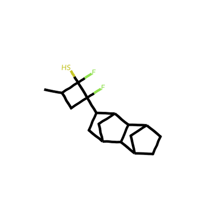 CC1CC(F)(C2CC3CC2C2C4CCC(C4)C32)C1(F)S